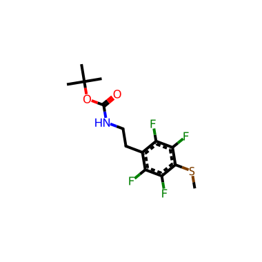 CSc1c(F)c(F)c(CCNC(=O)OC(C)(C)C)c(F)c1F